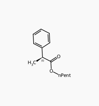 CCCCCOC(=O)[C@@H](C)c1ccccc1